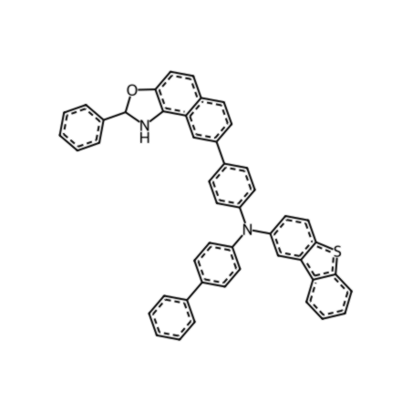 c1ccc(-c2ccc(N(c3ccc(-c4ccc5ccc6c(c5c4)NC(c4ccccc4)O6)cc3)c3ccc4sc5ccccc5c4c3)cc2)cc1